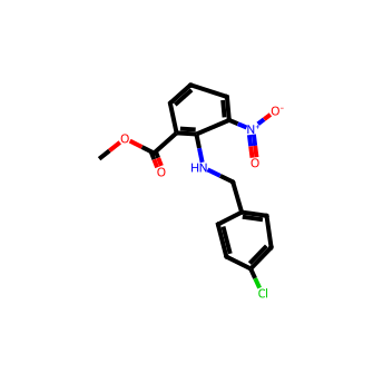 COC(=O)c1cccc([N+](=O)[O-])c1NCc1ccc(Cl)cc1